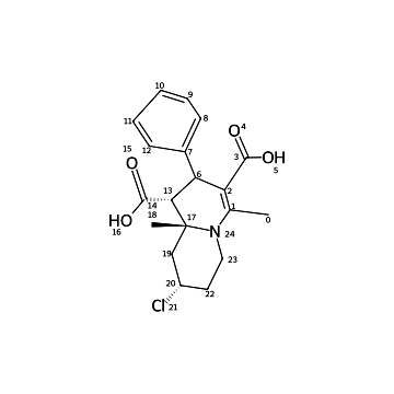 CC1=C(C(=O)O)C(c2ccccc2)[C@@H](C(=O)O)[C@@]2(C)C[C@@H](Cl)CCN12